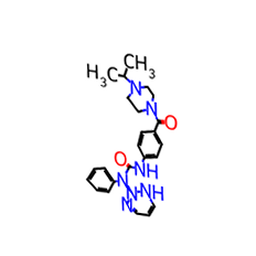 CC(C)N1CCN(C(=O)c2ccc(NC(=O)N(c3ccccc3)N3N=CC=CN3)cc2)CC1